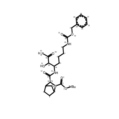 CC(C)(C)OC(=O)N1C2CCC(C2)[C@H]1C(=O)NC(CCCCNC(=O)OCc1ccccc1)C(O)C(N)=O